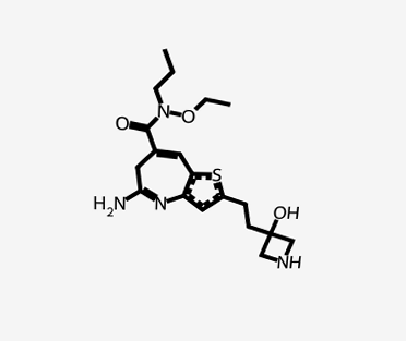 CCCN(OCC)C(=O)C1=Cc2sc(CCC3(O)CNC3)cc2N=C(N)C1